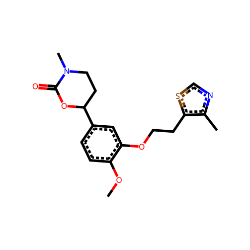 COc1ccc(C2CCN(C)C(=O)O2)cc1OCCc1scnc1C